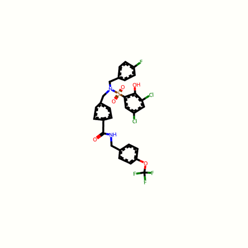 O=C(NCc1ccc(OC(F)(F)F)cc1)c1ccc(CN(Cc2ccc(F)cc2)S(=O)(=O)c2cc(Cl)cc(Cl)c2O)cc1